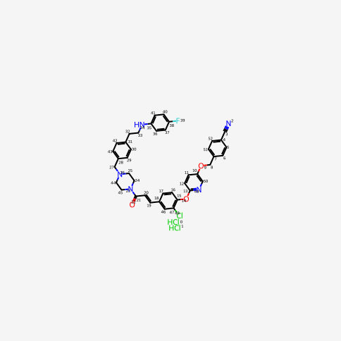 Cl.Cl.N#Cc1ccc(COc2ccc(Oc3ccc(C=CC(=O)N4CCN(Cc5ccc(CCNc6ccc(F)cc6)cc5)CC4)cc3Cl)nc2)cc1